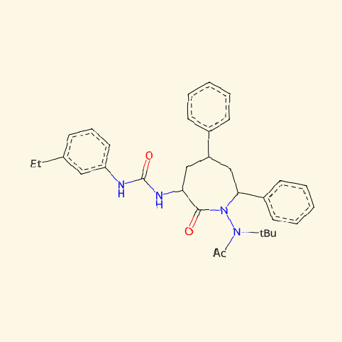 CCc1cccc(NC(=O)NC2CC(c3ccccc3)CC(c3ccccc3)N(N(C(C)=O)C(C)(C)C)C2=O)c1